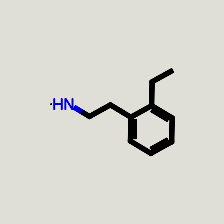 CCc1ccccc1CC[NH]